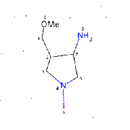 COCC1CN(I)CC1N